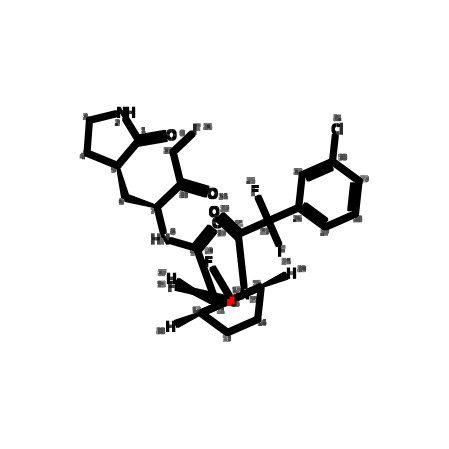 O=C1NCC[C@@H]1C[C@H](NC(=O)[C@H]1[C@H]2CC[C@H](CC2(F)F)N1C(=O)C(F)(F)c1cccc(Cl)c1)C(=O)CF